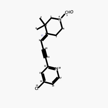 CC1(C)CN(C=O)CC/C1=C\C#Cc1cc(Cl)ccn1